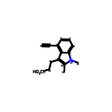 C#Cc1cccc2c1c(CCC(=O)O)c(C)n2C